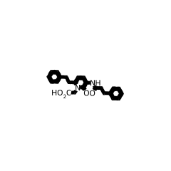 O=C(O)Cn1c(CCc2ccccc2)ccc(NC(=O)CCc2ccccc2)c1=O